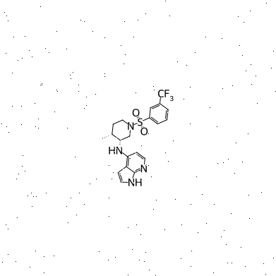 C[C@@H]1CCN(S(=O)(=O)c2cccc(C(F)(F)F)c2)C[C@@H]1Nc1ccnc2[nH]ccc12